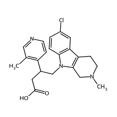 Cc1cnccc1C(CC(=O)O)Cn1c2c(c3cc(Cl)ccc31)CCN(C)C2